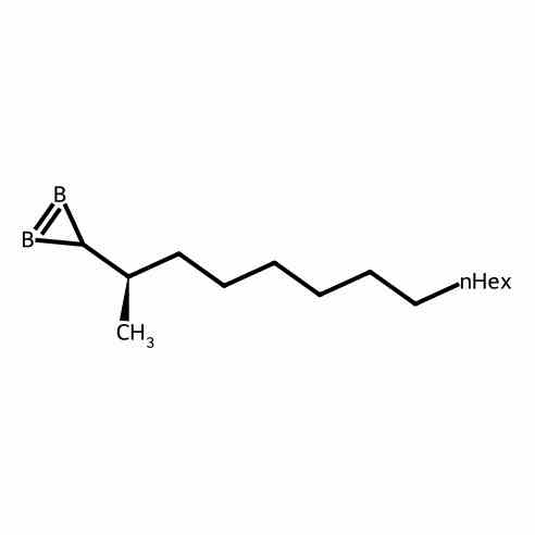 CCCCCCCCCCCC[C@@H](C)C1B=B1